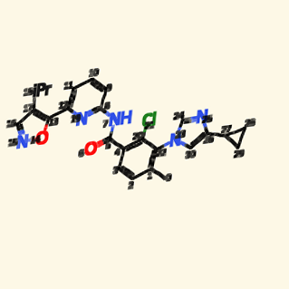 Cc1ccc(C(=O)Nc2cccc(-c3oncc3C(C)C)n2)c(Cl)c1-n1cnc(C2CC2)c1